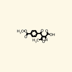 COC(=O)c1ccc(C(=O)c2c(C(=O)O)noc2C)cc1